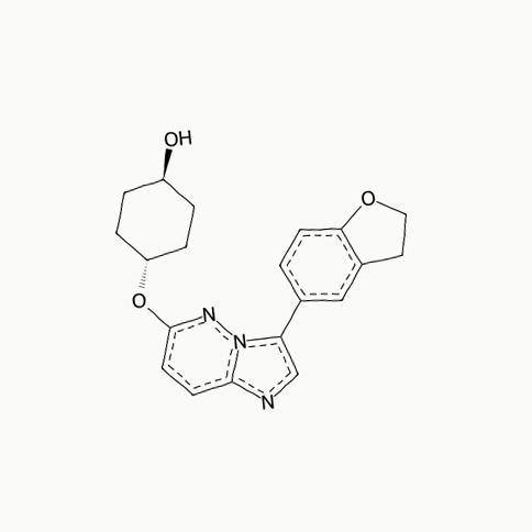 O[C@H]1CC[C@H](Oc2ccc3ncc(-c4ccc5c(c4)CCO5)n3n2)CC1